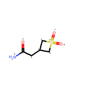 NC(=O)CC1CS(=O)(=O)C1